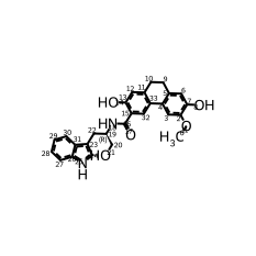 COc1cc2c(cc1O)CCc1cc(O)c(C(=O)N[C@@H](CO)Cc3c[nH]c4ccccc34)cc1-2